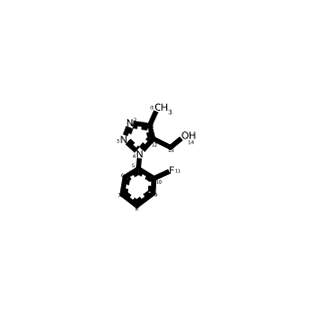 Cc1nnn(-c2ccccc2F)c1CO